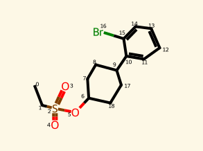 CCS(=O)(=O)OC1CCC(c2ccccc2Br)CC1